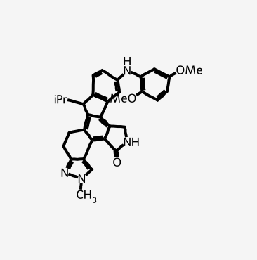 COc1ccc(OC)c(Nc2ccc3c(c2)-c2c4c(c5c(c2C3C(C)C)CCc2nn(C)cc2-5)C(=O)NC4)c1